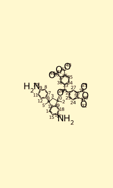 CC1(C)CC(C)(c2ccc(N)cc2)c2ccc(N)cc21.O=C(c1ccc2c(c1)C(=O)OC2=O)c1ccc2c(c1)C(=O)OC2=O